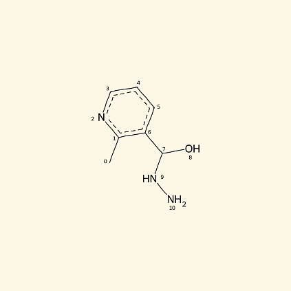 Cc1ncccc1C(O)NN